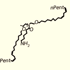 CCCCC/C=C\C/C=C\CCCCCCCCOCCN(C[C@H](C)OCCCCCCCC/C=C\C/C=C\CCCCC)C(=O)CCCCCN